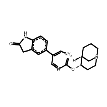 C=C(/N=C\C(=C/N)c1ccc2c(c1)CC(=O)N2)O[C@H]1CCN2CCC[C@@H]1C2